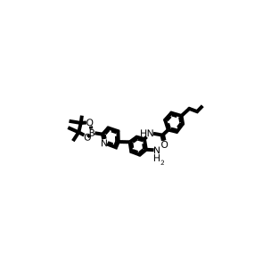 CCCc1ccc(C(=O)Nc2cc(-c3ccc(B4OC(C)(C)C(C)(C)O4)nc3)ccc2N)cc1